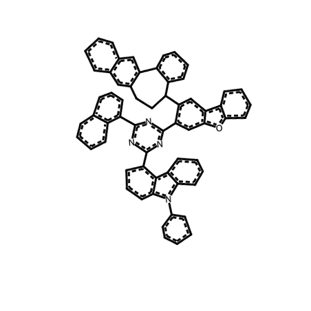 c1ccc(-n2c3ccccc3c3c(-c4nc(-c5cc6oc7ccccc7c6cc5C5CCc6cc7ccccc7cc6-c6ccccc65)nc(-c5cccc6ccccc56)n4)cccc32)cc1